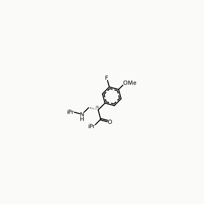 COc1ccc([C@@H](CNC(C)C)C(=O)C(C)C)cc1F